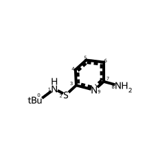 CC(C)(C)NSc1cccc(N)n1